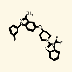 Cc1nn(-c2cccc(F)c2)c2ccc(OC3CCN(c4nc5ccccc5n4C(F)F)CC3)cc12